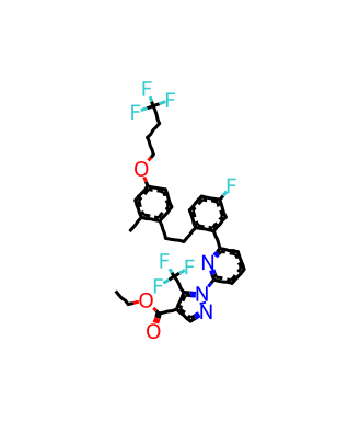 CCOC(=O)c1cnn(-c2cccc(-c3cc(F)ccc3CCc3ccc(OCCCC(F)(F)F)cc3C)n2)c1C(F)(F)F